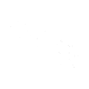 O=S(=O)(c1ccccc1)c1ccc(-c2n[nH]c(C(F)(F)F)n2)cc1